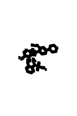 COc1cc(N2CCOCC2)ccc1-c1cc2c(NCc3cccnc3N(C)S(C)(=O)=O)c(C(F)(F)F)cnc2[nH]1